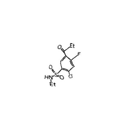 CCNS(=O)(=O)c1cc(C(=O)CC)c(F)cc1Cl